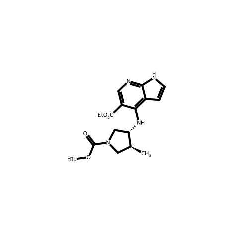 CCOC(=O)c1cnc2[nH]ccc2c1N[C@H]1CN(C(=O)OC(C)(C)C)C[C@@H]1C